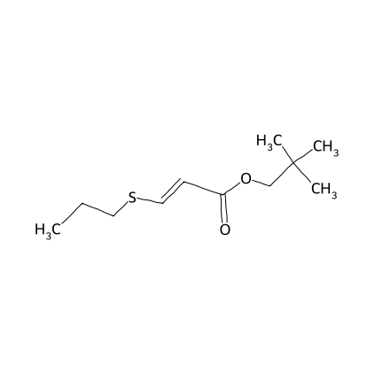 CCCSC=CC(=O)OCC(C)(C)C